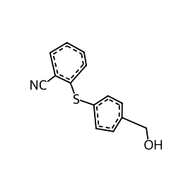 N#Cc1ccccc1Sc1ccc(CO)cc1